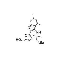 Cc1cc(C)n2c(NC(C)(C)CC(C)(C)C)c(-c3ccc(CO)o3)nc2c1